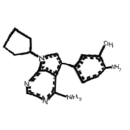 Nc1ccc(-c2cn(C3CCCC3)c3ncnc(N)c23)cc1O